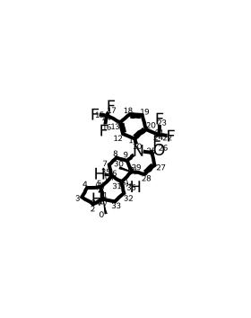 C[C@@]12CCC[C@H]1[C@@H]1CCC3N(c4cc(C(F)(F)F)ccc4C(F)(F)F)C(=O)C=C[C@]3(C)[C@H]1CC2